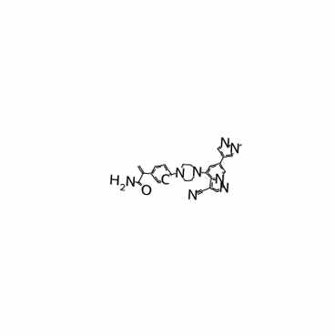 C=C(C(N)=O)c1ccc(N2CCN(c3cc(-c4cnn(C)c4)cn4ncc(C#N)c34)CC2)cc1